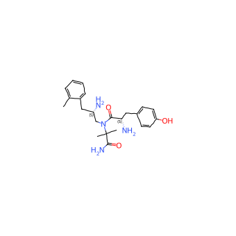 Cc1ccccc1C[C@H](N)CN(C(=O)[C@@H](N)Cc1ccc(O)cc1)C(C)(C)C(N)=O